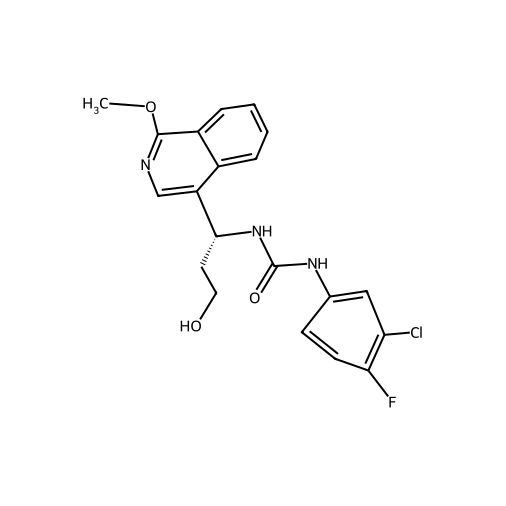 COc1ncc([C@@H](CCO)NC(=O)Nc2ccc(F)c(Cl)c2)c2ccccc12